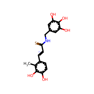 Cc1c(/C=C/C(=S)NCc2cc(O)c(O)c(O)c2)ccc(O)c1O